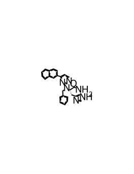 NC(=O)[C@H](Cc1c[nH]cn1)N(Cc1ccccc1)c1nccc(-c2ccc3ccccc3c2)n1